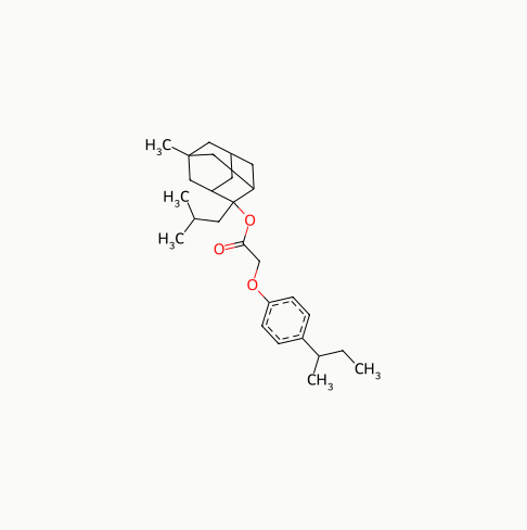 CCC(C)c1ccc(OCC(=O)OC2(CC(C)C)C3CC4CC2CC(C)(C4)C3)cc1